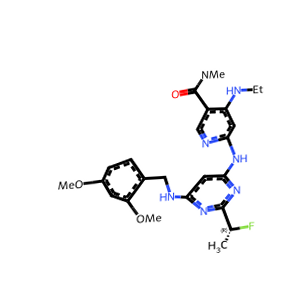 CCNc1cc(Nc2cc(NCc3ccc(OC)cc3OC)nc([C@@H](C)F)n2)ncc1C(=O)NC